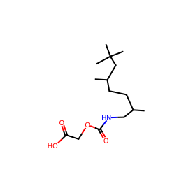 CC(CCC(C)CC(C)(C)C)CNC(=O)OCC(=O)O